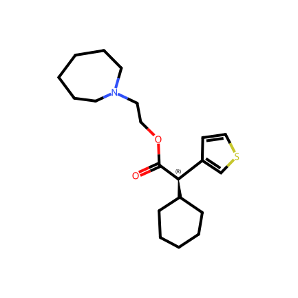 O=C(OCCN1CCCCCC1)[C@@H](c1ccsc1)C1CCCCC1